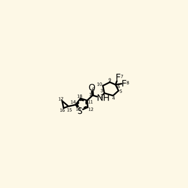 O=C(NC1CCC(F)(F)CC1)c1csc(C2CC2)c1